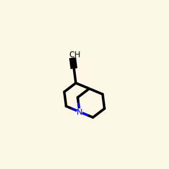 C#CC1CCN2CCCC1C2